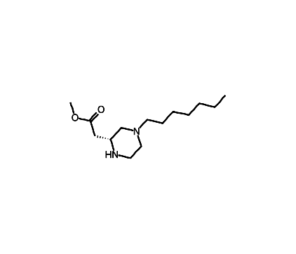 CCCCCCCN1CCN[C@H](CC(=O)OC)C1